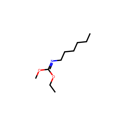 CCCCCCN=C(OC)OCC